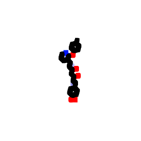 Cc1ccc(Oc2ncccc2/C=C/C(=O)CC(=O)/C=C/c2ccc(O)cc2)cc1